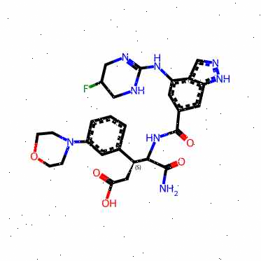 NC(=O)C(NC(=O)c1cc(NC2=NCC(F)CN2)c2cn[nH]c2c1)[C@@H](CC(=O)O)c1cccc(N2CCOCC2)c1